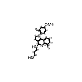 COc1ccc(N2CCc3c(NCCCO)nc4c(C)cccc4c32)c(C)c1